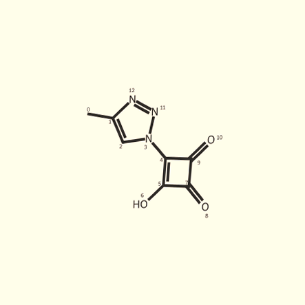 Cc1cn(-c2c(O)c(=O)c2=O)nn1